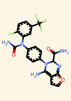 NC(=O)C1N=c2occc2=C(N)N1c1ccc(N(C(N)=O)c2cc(C(F)(F)F)ccc2F)cc1